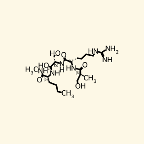 CCCC[C@H](N[C@@H](O)[C@H](CO)NC(=O)[C@H](CCCCNC(=N)N)NC(=O)[C@@H](C)CO)C(=O)NC